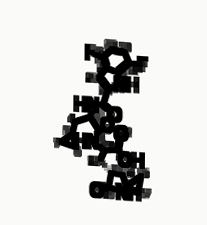 O=C(NC(CC1CC1)C(=O)NC(C[C@@H]1CC2(CC2)NC1=O)C(=O)O)c1cc2c(F)ccc(F)c2[nH]1